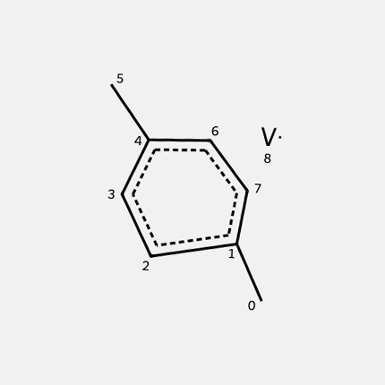 Cc1ccc(C)cc1.[V]